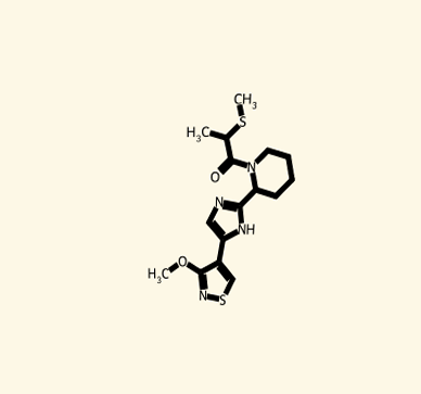 COc1nscc1-c1cnc(C2CCCCN2C(=O)C(C)SC)[nH]1